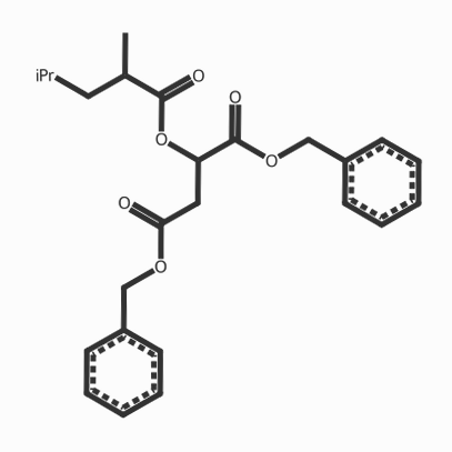 CC(C)CC(C)C(=O)OC(CC(=O)OCc1ccccc1)C(=O)OCc1ccccc1